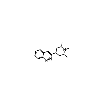 C[C@H]1CC(c2cc3ccccc3nn2)C[C@H](C)N1C